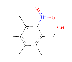 Cc1c(C)c(C)c([N+](=O)[O-])c(CO)c1C